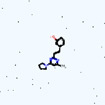 Cc1cc(N2CCCC2)nc(C=Cc2cccc(O)c2)n1